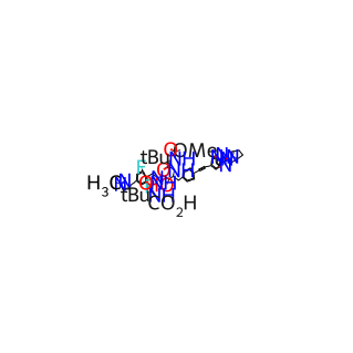 COC(=O)NC(C(=O)NC(Cc1ccc(C#Cc2ccc(N3CC4CCC(C3)N4c3ncccn3)nc2)cc1)C(O)CN(Cc1c(F)cc(-c2ccn(C)n2)cc1F)NC(=O)C(NC(=O)O)C(C)(C)C)C(C)(C)C